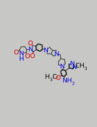 COc1cc(N2CCC(CN3CC4CN(c5ccc6c(c5)C(=O)N(C5CCC(=O)NC5=O)C6=O)CC4C3)CC2)c(-c2cnn(C)c2)cc1N